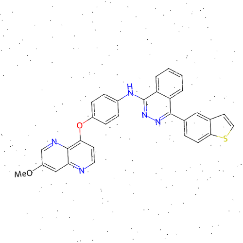 COc1cnc2c(Oc3ccc(Nc4nnc(-c5ccc6sccc6c5)c5ccccc45)cc3)ccnc2c1